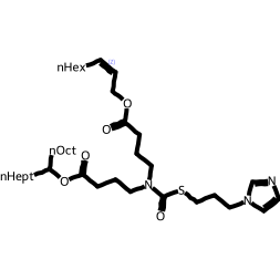 CCCCCC/C=C\COC(=O)CCCN(CCCC(=O)OC(CCCCCCC)CCCCCCCC)C(=O)SCCCn1ccnc1